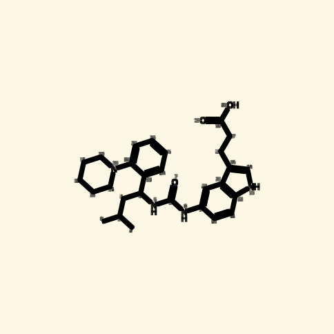 CC(C)CC(NC(=O)Nc1ccc2[nH]cc(CCC(=O)O)c2c1)c1ccccc1N1CCCCC1